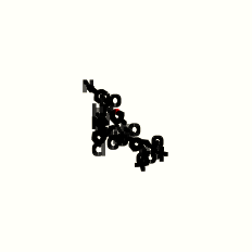 CC(C)(C)OC(=O)c1cc2cc(NC(=O)[C@H](Cc3ccc(NC(=O)N4CCC(C#N)CC4)cc3)N3CCN(c4cc(Cl)ccc4-n4cnnn4)C(=O)C3=O)ccc2n1C(=O)OC(C)(C)C